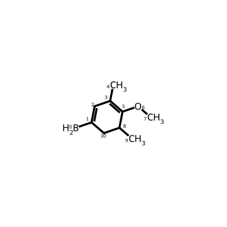 BC1=CC(C)=C(OC)C(C)C1